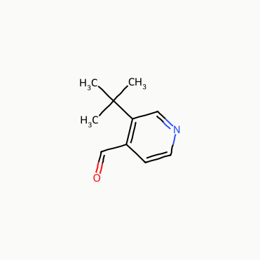 CC(C)(C)c1cnccc1C=O